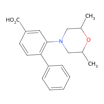 CC1CN(c2cc(C(=O)O)ccc2-c2ccccc2)CC(C)O1